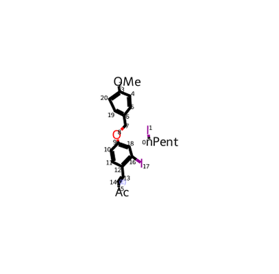 CCCCCI.COc1ccc(COc2ccc(/C=C/C(C)=O)c(I)c2)cc1